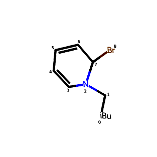 CCC(C)CN1C=CC=CC1Br